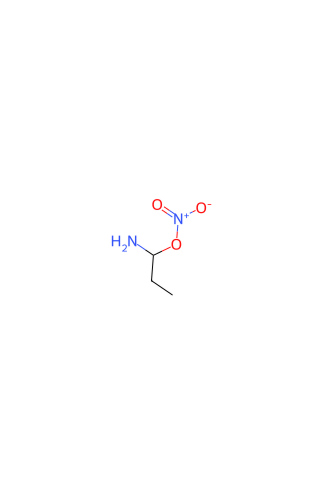 CCC(N)O[N+](=O)[O-]